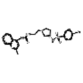 Cc1cc(NC(=O)NCCN2CC[C@H](N(C)S(=O)(=O)c3ccc(Br)cc3)C2)c2ccccc2n1